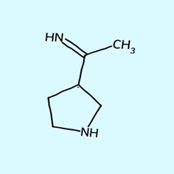 CC(=N)[C]1CCNC1